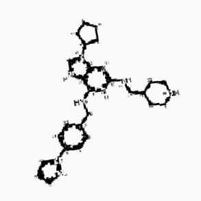 c1cnn(-c2ccc(CNc3nc(NCC4CCNCC4)nc4c3ncn4C3CCCC3)cc2)c1